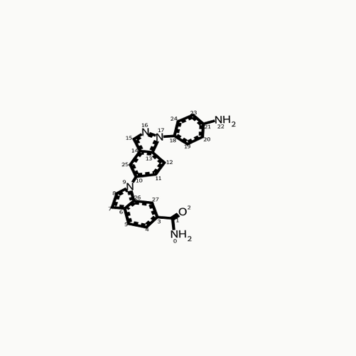 NC(=O)c1ccc2ccn(-c3ccc4c(cnn4-c4ccc(N)cc4)c3)c2c1